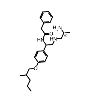 CCCC(C)COc1ccc(C(CNC[C@H](C)N)NC(=O)Cc2ccccc2)cc1